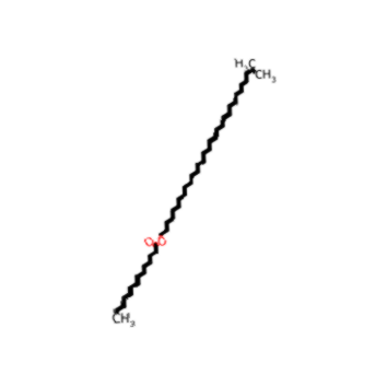 CCCCC=CCCCCCCCC(=O)OCCCCCCCCCCCCCCCCCCCCCCCCCCCCCC(C)C